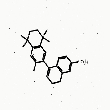 Cc1cc2c(cc1C1=CCCc3cc(C(=O)O)ccc31)C(C)(C)CCC2(C)C